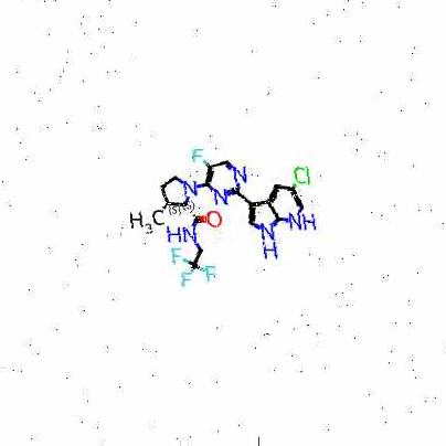 C[C@H]1CCN(c2nc(C3=CNC4NC=C(Cl)C=C34)ncc2F)[C@@H]1C(=O)NCC(F)(F)F